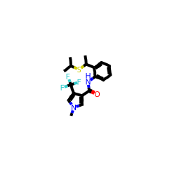 CC(C)SC(C)c1ccccc1NC(=O)c1cn(C)cc1C(F)(F)F